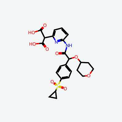 O=C(Nc1cccc(C(C(=O)O)C(=O)O)n1)C(OC1CCOCC1)c1ccc(S(=O)(=O)C2CC2)cc1